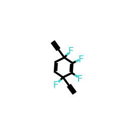 C#CC1(F)C=CC(F)(C#C)C(F)=C1F